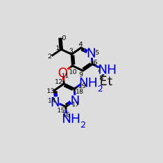 C=C(C)c1cnc(NCC)cc1Oc1cnc(N)nc1N